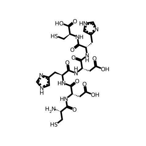 N[C@@H](CS)C(=O)N[C@@H](CC(=O)O)C(=O)N[C@@H](Cc1c[nH]cn1)C(=O)N[C@@H](CC(=O)O)C(=O)N[C@@H](Cc1c[nH]cn1)C(=O)N[C@@H](CS)C(=O)O